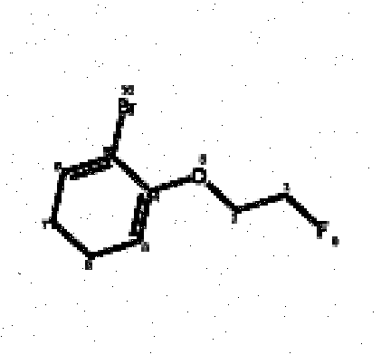 FCCOC1=CC[CH]C=C1Br